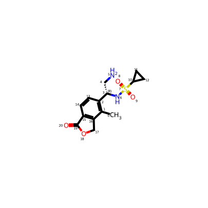 Cc1c([C@H](CN)NS(=O)(=O)C2CC2)ccc2c1COC2=O